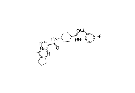 Cc1c2c(nc3c(C(=O)N[C@H]4CC[C@H](C(=O)Nc5ccc(F)cc5Cl)CC4)cnn13)CCC2